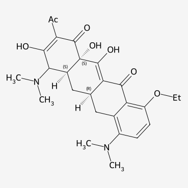 CCOc1ccc(N(C)C)c2c1C(=O)C1=C(O)[C@]3(O)C(=O)C(C(C)=O)=C(O)C(N(C)C)[C@@H]3C[C@@H]1C2